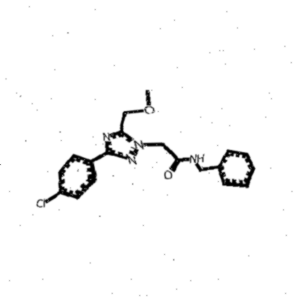 COCc1nc(-c2ccc(Cl)cc2)nn1CC(=O)NCc1ccccc1